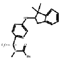 CN(C(=O)C(C)(C)C)[C@@H](c1ccc(NC2Cc3ccccc3C2(C)C)cn1)C(F)(F)F